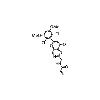 C=CC(=O)NCc1ncc2oc(-c3c(Cl)c(OC)cc(OC)c3Cl)cc(=O)c2n1